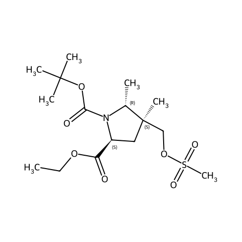 CCOC(=O)[C@@H]1C[C@](C)(COS(C)(=O)=O)[C@@H](C)N1C(=O)OC(C)(C)C